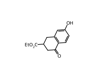 CCOC(=O)C1CC(=O)c2ccc(O)cc2C1